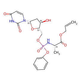 C=CCOC(=O)[C@H](C)NP(=O)(OC[C@@H]1O[C@H](n2ccc(=O)[nH]c2=O)C[C@H]1O)Oc1ccccc1